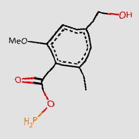 COc1cc(CO)cc(C)c1C(=O)OP